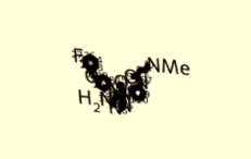 CNC/C=C/C(=O)N(C)c1cccc(-n2c(=O)n(-c3ccc(Oc4cccc(F)c4)cc3)c3c(N)ncnc32)c1